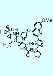 C=C[C@@H]1C[C@]1(NC(=O)[C@@H]1C[C@@H](Oc2cc(-c3csc(N)n3)nc3cc(OC)ccc23)CN1C(=O)[C@@H](NC(=O)OC1CCCC1)C(C)(C)C)P(=O)(O)O